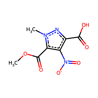 COC(=O)c1c([N+](=O)[O-])c(C(=O)O)nn1C